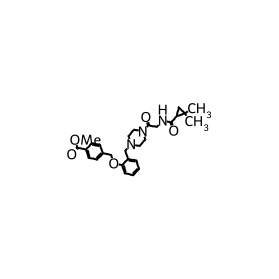 COC(=O)c1ccc(COc2ccccc2CN2CCN(C(=O)CNC(=O)C3CC3(C)C)CC2)cc1